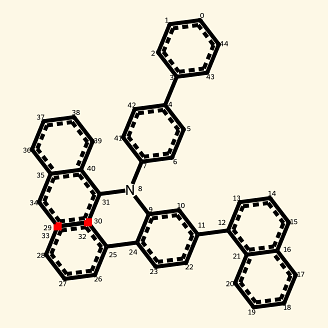 c1ccc(-c2ccc(N(c3cc(-c4cccc5ccccc45)ccc3-c3ccccc3)c3cccc4ccccc34)cc2)cc1